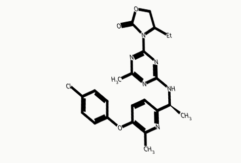 CCC1COC(=O)N1c1nc(C)nc(N[C@@H](C)c2ccc(Oc3ccc(Cl)cc3)c(C)n2)n1